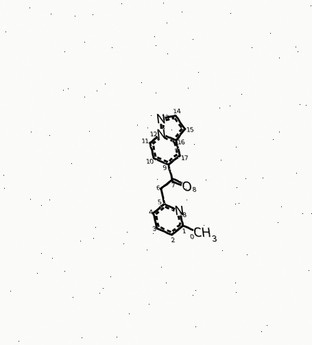 Cc1cccc(CC(=O)c2ccn3nccc3c2)n1